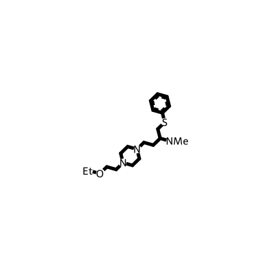 CCOCCN1CCN(CCC(CSc2ccccc2)NC)CC1